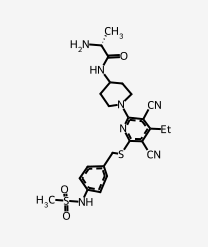 CCc1c(C#N)c(SCc2ccc(NS(C)(=O)=O)cc2)nc(N2CCC(NC(=O)[C@@H](C)N)CC2)c1C#N